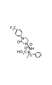 CC1[C@H](c2ccccc2)[C@]1(NS(=O)(=O)N1CCN(c2ccc(C(F)(F)F)cc2)C(=O)C1)C(=O)O